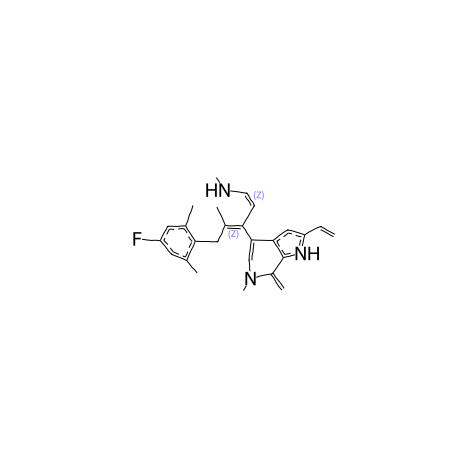 C=Cc1cc2c([nH]1)C(=C)N(C)C=C2C(/C=C\NC)=C(/C)Cc1c(C)cc(F)cc1C